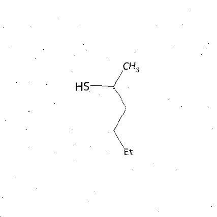 CCCC[C](C)S